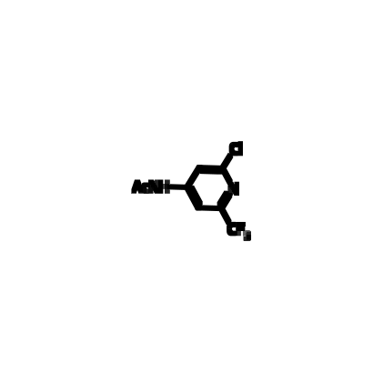 CC(=O)Nc1cc(Cl)nc(C(F)(F)F)c1